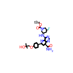 CC(C)(O)COc1ccc(-c2cc(C(N)=O)c3ncnc(N[C@H]4C[C@H](F)CN(C(=O)OC(C)(C)C)C4)c3n2)cc1